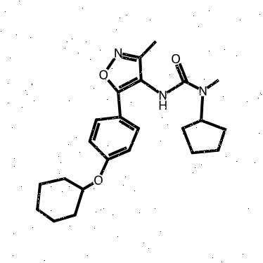 Cc1noc(-c2ccc(OC3CCCCC3)cc2)c1NC(=O)N(C)C1CCCC1